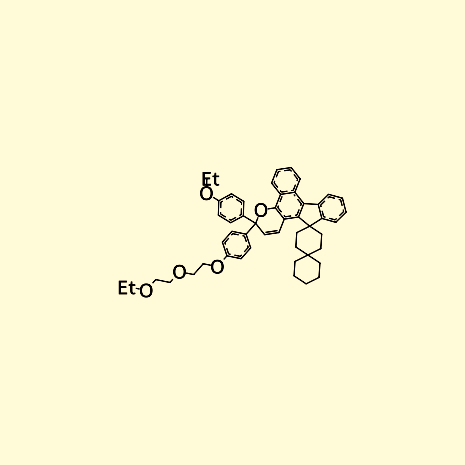 CCOCCOCCOc1ccc(C2(c3ccc(OCC)cc3)C=Cc3c4c(c5ccccc5c3O2)-c2ccccc2C42CCC3(CCCCC3)CC2)cc1